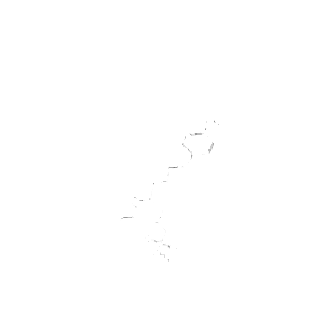 CS(=O)(=O)CC1CC(=O)OC(CCCCc2ccc(C#N)cc2)C1